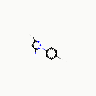 N#Cc1cc(N)n(-c2ccc([N+](=O)[O-])cc2)n1